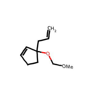 C=CCC1(OCOC)C=C[CH]C1